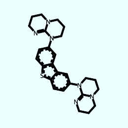 c1cc2sc3ccc(N4CCCN5CCCN=C54)cc3c2cc1N1CCCN2CCCN=C21